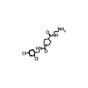 NCCNC(=O)C1CCN(C(=O)NCc2ccc(Cl)cc2Cl)CC1